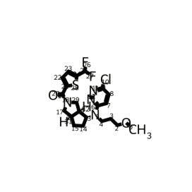 COCCCN(c1ccc(Cl)nn1)[C@@H]1CC[C@H]2CN(C(=O)c3ccc(C(F)F)s3)C[C@H]21